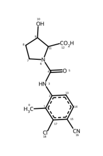 Cc1c(NC(=O)N2CCC(O)C2C(=O)O)ccc(C#N)c1Cl